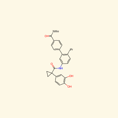 CNC(=O)c1ccc(-c2cc(NC(=O)C3(c4ccc(O)c(O)c4)CC3)ccc2C(C)C)cc1